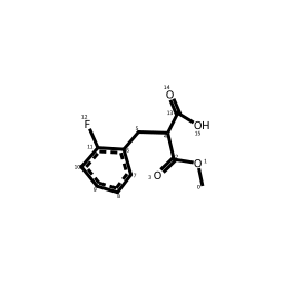 COC(=O)C(Cc1ccccc1F)C(=O)O